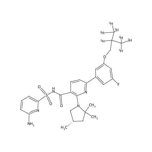 [2H]C([2H])([2H])C([2H])(COc1cc(F)cc(-c2ccc(C(=O)NS(=O)(=O)c3cccc(N)n3)c(N3C[C@@H](C)CC3(C)C)n2)c1)C([2H])([2H])[2H]